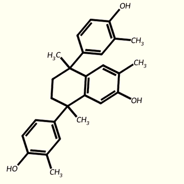 Cc1cc(C2(C)CCC(C)(c3ccc(O)c(C)c3)c3cc(O)c(C)cc32)ccc1O